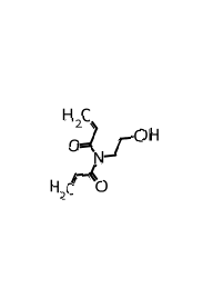 C=CC(=O)N(CCO)C(=O)C=C